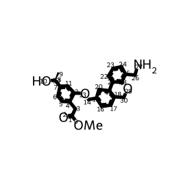 COC(=O)Cc1ccc([C@H](C)O)cc1OCc1ccc2c(c1)-c1cccc(CN)c1OC2